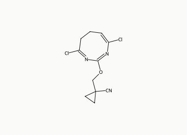 N#CC1(COC2=N/C(Cl)=C\CC/C(Cl)=N\2)CC1